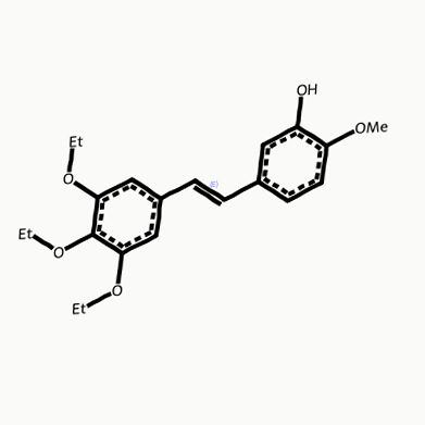 CCOc1cc(/C=C/c2ccc(OC)c(O)c2)cc(OCC)c1OCC